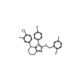 Cc1ccc(F)c(CSc2nc3c(n2-c2ccc(F)cc2)C(c2ccc(Cl)c(C)c2)CCC3)c1